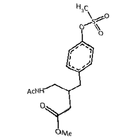 COC(=O)CC(CNC(C)=O)Cc1ccc(OS(C)(=O)=O)cc1